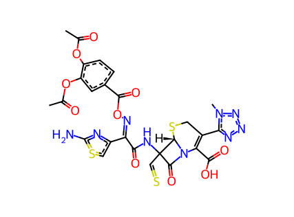 CC(=O)Oc1ccc(C(=O)ON=C(C(=O)NC2(C=S)C(=O)N3C(C(=O)O)=C(c4nnnn4C)CS[C@H]32)c2csc(N)n2)cc1OC(C)=O